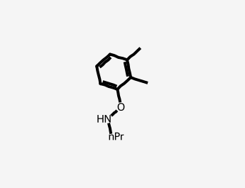 CCCNOc1cccc(C)c1C